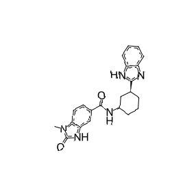 Cn1c(=O)[nH]c2cc(C(=O)NC3CCC[C@H](c4nc5ccccc5[nH]4)C3)ccc21